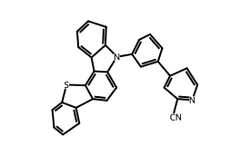 N#Cc1cc(-c2cccc(-n3c4ccccc4c4c5sc6ccccc6c5ccc43)c2)ccn1